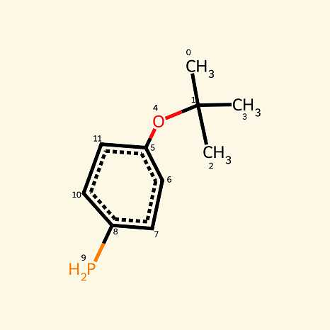 CC(C)(C)Oc1ccc(P)cc1